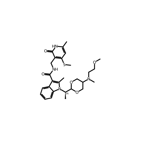 COCCN(C)C1COC([C@@H](C)n2c(C)c(C(=O)NCc3c(SC)cc(C)[nH]c3=O)c3ccccc32)OC1